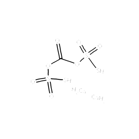 O=C(OS(=O)(=O)S)OS(=O)(=O)S.[CaH2].[CaH2]